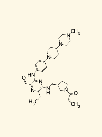 C=CC(=O)N1CC[C@H](CNc2nc(Nc3ccc(N4CCC(N5CCN(C)CC5)CC4)cc3)c(C=O)nc2CC)C1